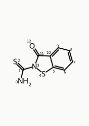 NC(=S)n1sc2ccccc2c1=O